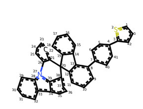 c1csc(-c2ccc(-c3cccc4c3-c3ccccc3C43c4ccccc4-n4c5ccccc5c5cccc3c54)cc2)c1